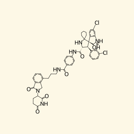 O=C1CCC(N2Cc3c(CCCNC(=O)c4ccc(NC(=O)[C@@H]5NC6(CCCCC6)[C@]6(c7ccc(Cl)cc7NC6O)[C@H]5c5cccc(Cl)c5F)cc4)cccc3C2=O)C(=O)N1